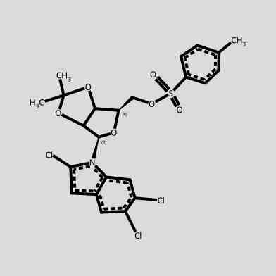 Cc1ccc(S(=O)(=O)OC[C@H]2O[C@@H](n3c(Cl)cc4cc(Cl)c(Cl)cc43)C3OC(C)(C)OC32)cc1